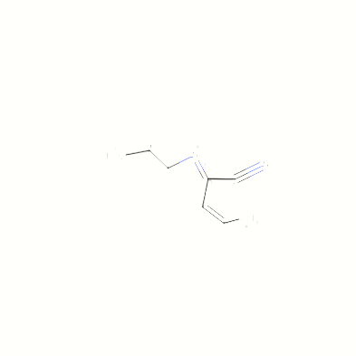 C/C=C\C(C#N)=N/CCC